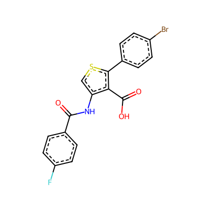 O=C(Nc1csc(-c2ccc(Br)cc2)c1C(=O)O)c1ccc(F)cc1